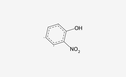 O=[N+]([O-])c1[c][c]ccc1O